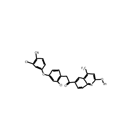 CC(C)Oc1cc(C(F)(F)F)c2cc(C(=O)Cc3ccc(Oc4ccc(C#N)c(Cl)c4)cc3Cl)ccc2n1